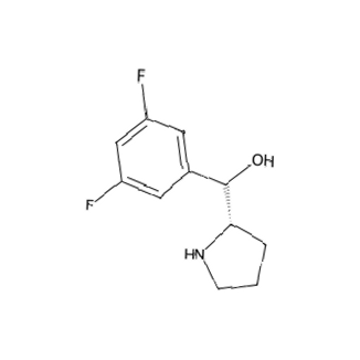 OC(c1cc(F)cc(F)c1)[C@@H]1CCCN1